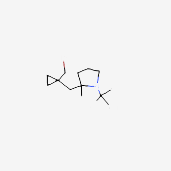 CC(C)(C)N1CCCC1(C)CC1(CBr)CC1